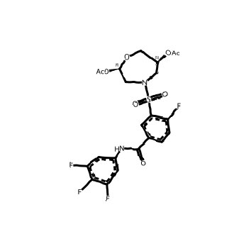 CC(=O)O[C@@H]1CO[C@H](OC(C)=O)CN(S(=O)(=O)c2cc(C(=O)Nc3cc(F)c(F)c(F)c3)ccc2F)C1